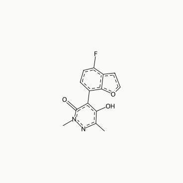 Cc1nn(C)c(=O)c(-c2ccc(F)c3ccoc23)c1O